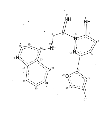 Cc1cc(-c2ccc(=N)n(C(=N)CNc3ccnc4cccnc34)n2)on1